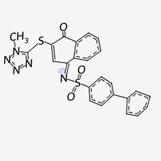 Cn1nnnc1SC1=C/C(=N/S(=O)(=O)c2ccc(-c3ccccc3)cc2)c2ccccc2C1=O